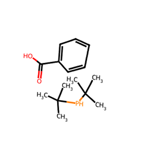 CC(C)(C)PC(C)(C)C.O=C(O)c1ccccc1